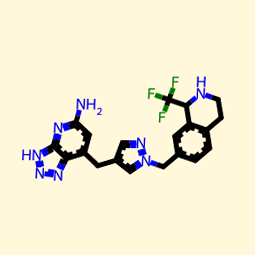 Nc1cc(Cc2cnn(Cc3ccc4c(c3)C(C(F)(F)F)NCC4)c2)c2nn[nH]c2n1